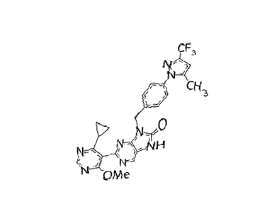 COc1ncnc(C2CC2)c1-c1ncc2[nH]c(=O)n(Cc3ccc(-n4nc(C(F)(F)F)cc4C)cc3)c2n1